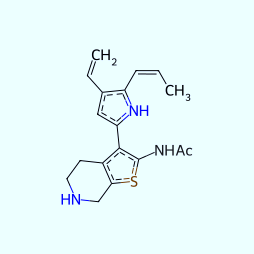 C=Cc1cc(-c2c(NC(C)=O)sc3c2CCNC3)[nH]c1/C=C\C